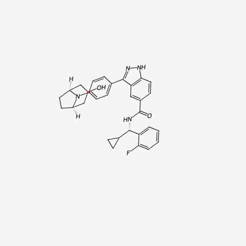 O=C(N[C@H](c1ccccc1F)C1CC1)c1ccc2[nH]nc(-c3ccc(N4[C@@H]5CC[C@H]4CC(O)C5)cc3)c2c1